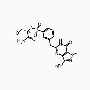 CCCc1nn(C)c2c(=O)[nH]c(Cc3cccc(S(=O)(=O)N[C@@H](CO)C(N)=O)c3)nc12